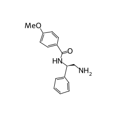 COc1ccc(C(=O)N[C@@H](CN)c2ccccc2)cc1